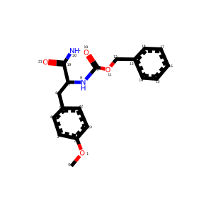 COc1ccc(CC(NC(=O)OCc2ccccc2)C([NH])=O)cc1